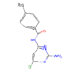 COc1ccc(C(=O)Nc2cc(Cl)nc(N)n2)cc1